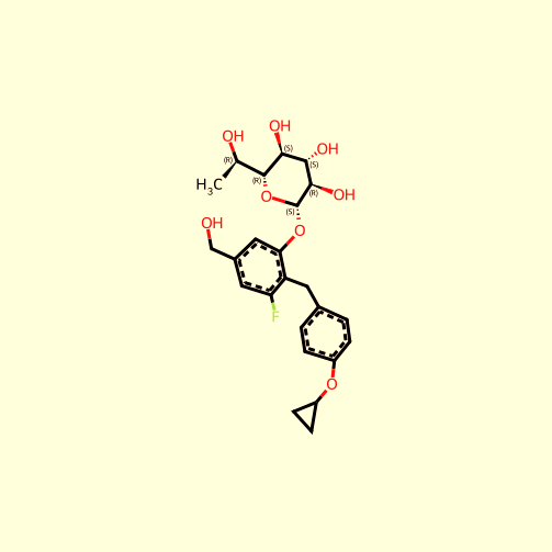 C[C@@H](O)[C@H]1O[C@@H](Oc2cc(CO)cc(F)c2Cc2ccc(OC3CC3)cc2)[C@H](O)[C@@H](O)[C@@H]1O